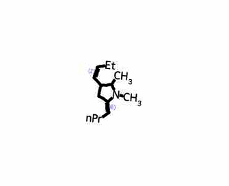 CC/C=C\C1C/C(=C\CCC)N(C)C1C